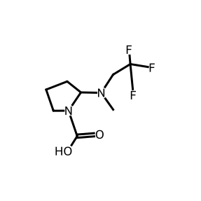 CN(CC(F)(F)F)C1CCCN1C(=O)O